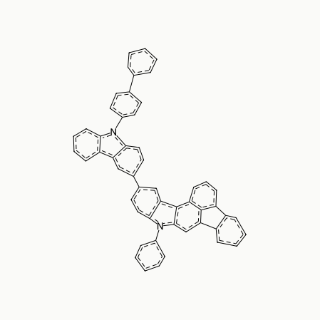 c1ccc(-c2ccc(-n3c4ccccc4c4cc(-c5ccc6c(c5)c5c7cccc8c7c(cc5n6-c5ccccc5)-c5ccccc5-8)ccc43)cc2)cc1